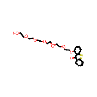 O=c1c2ccccc2sc2cccc(OCCOCCOCCOCCOCCOCCO)c12